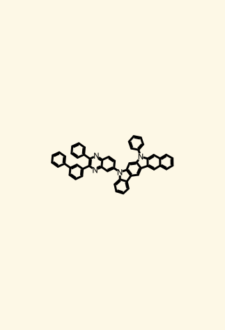 c1ccc(-c2cccc(-c3nc4cc(-n5c6ccccc6c6cc7c8cc9ccccc9cc8n(-c8ccccc8)c7cc65)ccc4nc3-c3ccccc3)c2)cc1